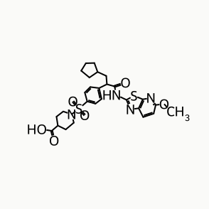 COc1ccc2nc(NC(=O)C(CC3CCCC3)c3ccc(S(=O)(=O)N4CCC(C(=O)O)CC4)cc3)sc2n1